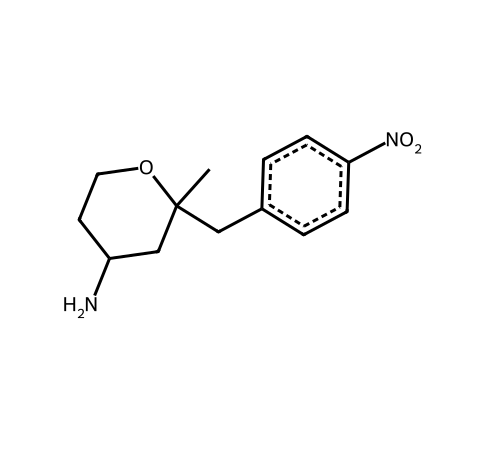 CC1(Cc2ccc([N+](=O)[O-])cc2)CC(N)CCO1